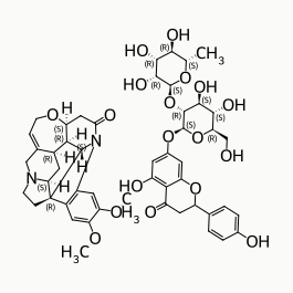 COc1cc2c(cc1OC)[C@@]13CCN4CC5=CCO[C@H]6CC(=O)N2[C@H]1[C@H]6[C@H]5C[C@H]43.C[C@@H]1O[C@@H](O[C@H]2[C@H](Oc3cc(O)c4c(c3)OC(c3ccc(O)cc3)CC4=O)O[C@H](CO)[C@@H](O)[C@@H]2O)[C@H](O)[C@H](O)[C@H]1O